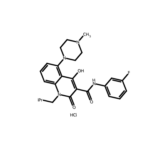 CC(C)Cn1c(=O)c(C(=O)Nc2cccc(F)c2)c(O)c2c(N3CCN(C)CC3)cccc21.Cl